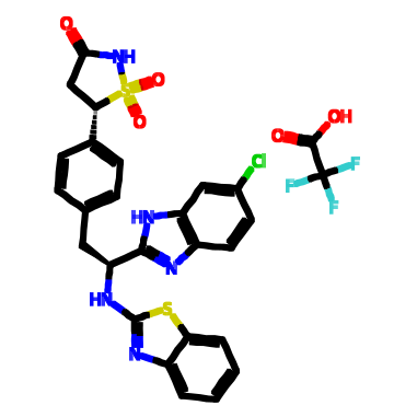 O=C(O)C(F)(F)F.O=C1C[C@@H](c2ccc(C[C@H](Nc3nc4ccccc4s3)c3nc4ccc(Cl)cc4[nH]3)cc2)S(=O)(=O)N1